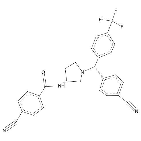 N#Cc1ccc(C(=O)N[C@@H]2CCN([C@@H](c3ccc(C#N)cc3)c3ccc(C(F)(F)F)cc3)C2)cc1